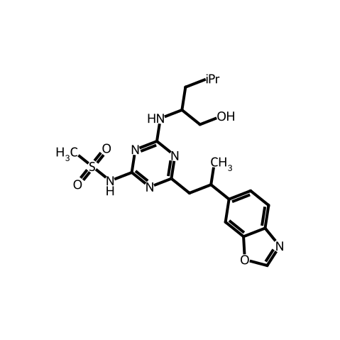 CC(C)CC(CO)Nc1nc(CC(C)c2ccc3ncoc3c2)nc(NS(C)(=O)=O)n1